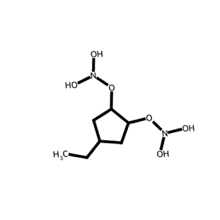 CCC1CC(ON(O)O)C(ON(O)O)C1